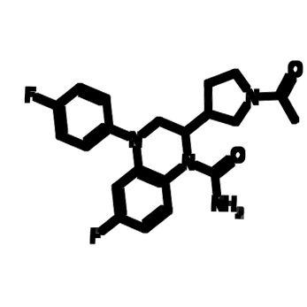 CC(=O)N1CCC(C2CN(c3ccc(F)cc3)c3cc(F)ccc3N2C(N)=O)C1